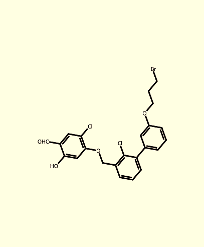 O=Cc1cc(Cl)c(OCc2cccc(-c3cccc(OCCCBr)c3)c2Cl)cc1O